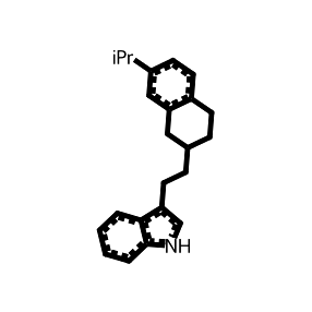 CC(C)c1ccc2c(c1)CC(CCc1c[nH]c3ccccc13)CC2